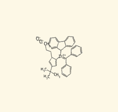 CCCC1C=C(C(C)(C)C)C=[C]1[Zr+2](=[C](c1ccccc1)c1ccccc1)[CH]1c2ccccc2-c2ccccc21.[Cl-].[Cl-]